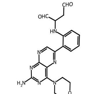 Nc1nc(N2CCOCC2)c2nc(-c3ccccc3NC(C=O)CC=O)cnc2n1